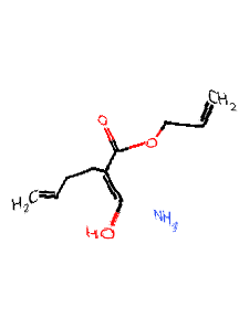 C=CCOC(=O)C(=CO)CC=C.N